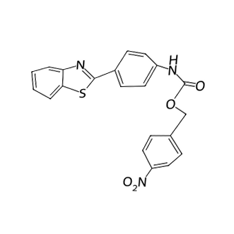 O=C(Nc1ccc(-c2nc3ccccc3s2)cc1)OCc1ccc([N+](=O)[O-])cc1